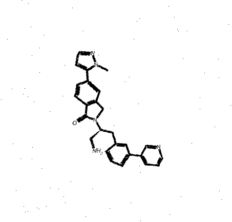 Cn1nccc1-c1ccc2c(c1)CN([C@H](CN)Cc1cccc(-c3cccnc3)c1)C2=O